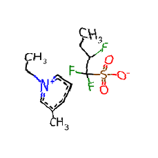 CCC(F)C(F)(F)S(=O)(=O)[O-].CC[n+]1cccc(C)c1